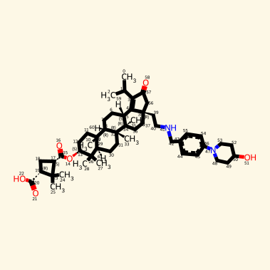 CC(C)C1=C2[C@H]3CC[C@@H]4[C@@]5(C)CC[C@H](OC(=O)[C@H]6C[C@@H](C(=O)O)C6(C)C)C(C)(C)[C@@H]5CC[C@@]4(C)[C@]3(C)CC[C@@]2(CCNCc2ccc(N3CCC(O)CC3)cc2)CC1=O